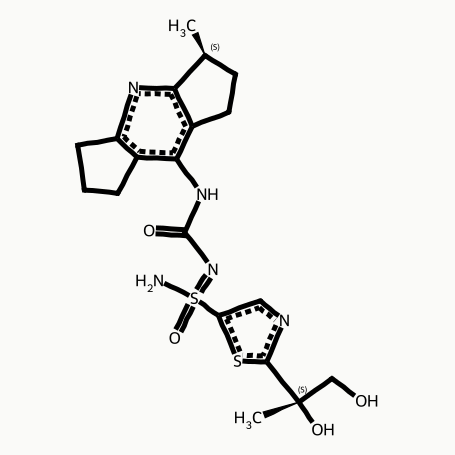 C[C@H]1CCc2c1nc1c(c2NC(=O)N=S(N)(=O)c2cnc([C@@](C)(O)CO)s2)CCC1